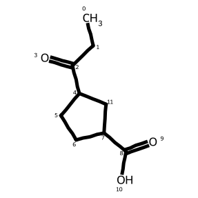 CCC(=O)C1CCC(C(=O)O)C1